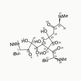 CCC(C)[C@H](NC)C(=O)C(C)(O)C(=O)CC(O)(C(=O)[C@@H](NC)C(C)CC)C(=O)C(O)(CC(=O)[C@H](C)NC)C(=O)O